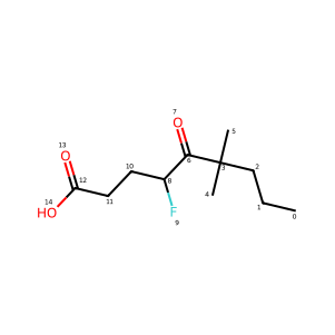 CCCC(C)(C)C(=O)C(F)CCC(=O)O